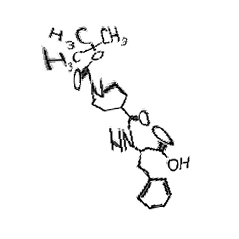 CC(C)(C)OC(=O)N1CCC(C(=O)N[C@H](Cc2ccccc2)C(=O)O)CC1